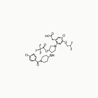 O=C(O)Cc1cc(Cl)c(OCC(F)F)cc1N1C[C@H](NC2CCN(C(=O)c3ccc(Cl)cc3)CC2)[C@@H](OC(=O)C(F)(F)F)C1